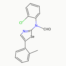 Cc1ccccc1-c1cnc(N(C=O)c2ccccc2Cl)[se]1